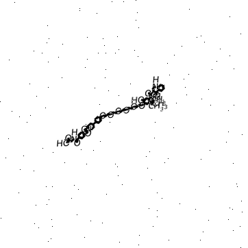 CC(C)(C)c1cc(OCCOCCOCCOCCOCCOc2ccc(C3CCN(S(=O)(=O)c4ccc(C(=O)NCC(=O)O)cc4)CC3)cc2)c(O)cc1NC(=O)c1c[nH]c2ccccc2c1=O